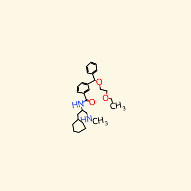 CCOCCOC(c1ccccc1)c1cccc(C(=O)NC(CNC)CC2CCCCC2)c1